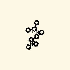 C1=CC(c2cc(-c3ccccc3)nc(-n3c4c(c5ccc(-c6cccc7c6c6ccccc6n7C6=CCCC=C6)cc53)C=CCC4)c2)=CCC1